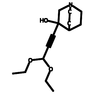 CCOC(C#CC1(O)CN2CCC1CC2)OCC